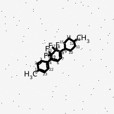 Cc1ccc(C2=CC=C(C3CCC(C)CC3)C(F)(F)C2(F)F)cc1